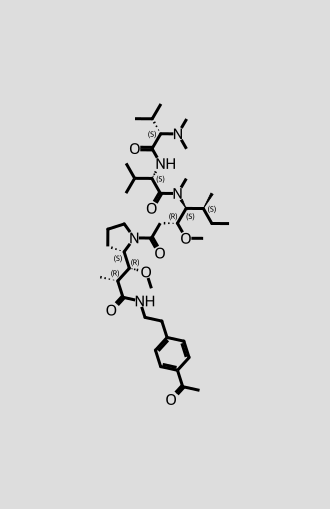 CC[C@H](C)[C@@H]([C@@H](CC(=O)N1CCC[C@H]1[C@H](OC)[C@@H](C)C(=O)NCCc1ccc(C(C)=O)cc1)OC)N(C)C(=O)[C@@H](NC(=O)[C@H](C(C)C)N(C)C)C(C)C